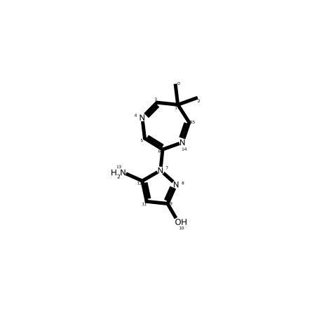 CC1(C)C=NC=C(n2nc(O)cc2N)N=C1